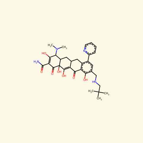 CN(C)C1C(O)=C(C(N)=O)C(=O)C2(O)C(O)=C3C(=O)c4c(O)c(CNCC(C)(C)C)cc(-c5ccccn5)c4CC3CC12